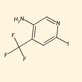 Nc1cnc(I)cc1C(F)(F)F